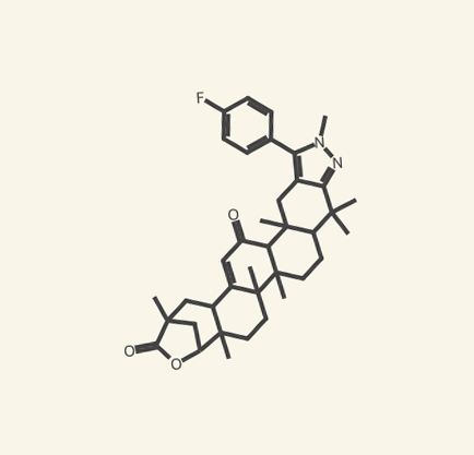 Cn1nc2c(c1-c1ccc(F)cc1)CC1(C)C(CCC3(C)C1C(=O)C=C1C4CC5(C)CC(OC5=O)C4(C)CCC13C)C2(C)C